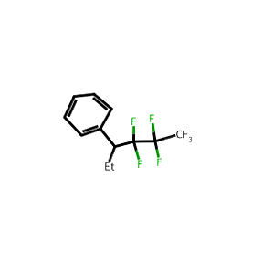 [CH2]CC(c1ccccc1)C(F)(F)C(F)(F)C(F)(F)F